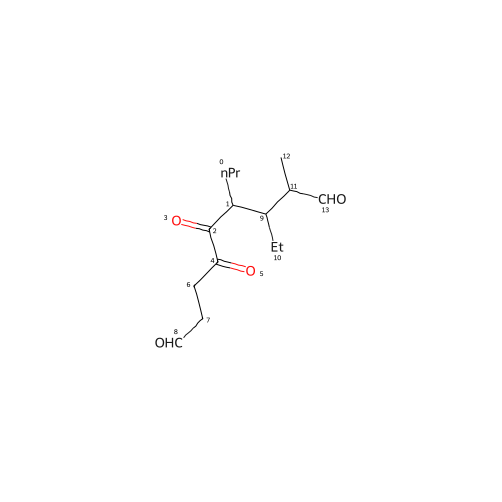 CCCC(C(=O)C(=O)CCC=O)C(CC)C(C)C=O